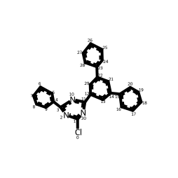 Clc1nc(-c2ccccc2)nc(-c2cc(-c3ccccc3)cc(-c3ccccc3)c2)n1